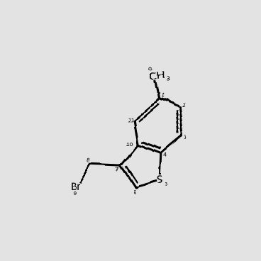 Cc1ccc2scc(CBr)c2c1